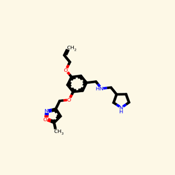 C=CCOc1cc(CNCC2CCNC2)cc(OCc2cc(C)on2)c1